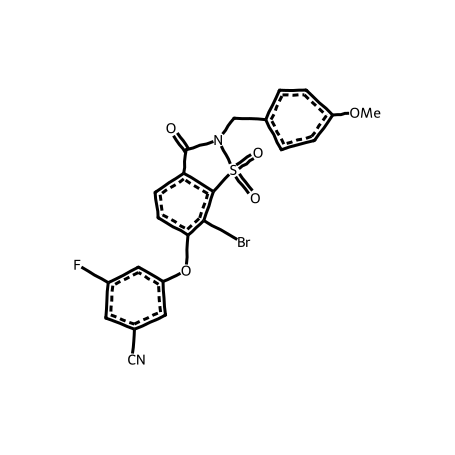 COc1ccc(CN2C(=O)c3ccc(Oc4cc(F)cc(C#N)c4)c(Br)c3S2(=O)=O)cc1